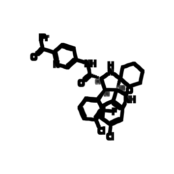 CC(C)C(=O)c1ccc(NC(=O)[C@@H]2NC3(CCCCC3)[C@@]3(C(=O)Nc4cc(Cl)ccc43)[C@H]2c2cccc(Cl)c2F)cn1